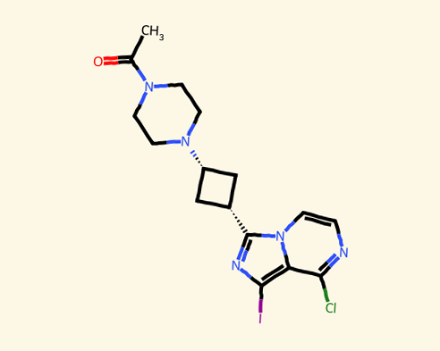 CC(=O)N1CCN([C@H]2C[C@@H](c3nc(I)c4c(Cl)nccn43)C2)CC1